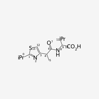 CC(C)c1nc(C(C)C(=O)NC(C(=O)O)C(C)C)cs1